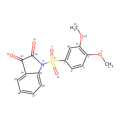 COc1ccc(S(=O)(=O)N2C(=O)C(=O)c3ccccc32)cc1OC